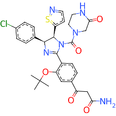 CC(C)(C)Oc1cc(C(=O)CC(N)=O)ccc1C1=N[C@@H](c2ccc(Cl)cc2)[C@@H](c2ccns2)N1C(=O)N1CCNC(=O)C1